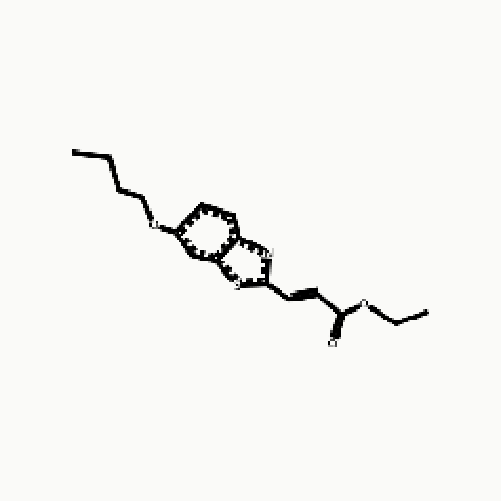 CCCCOc1ccc2nc(/C=C/C(=O)OCC)sc2c1